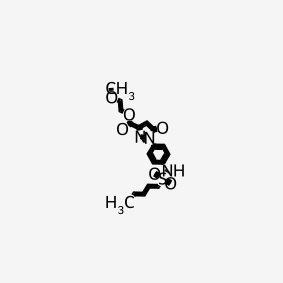 CCCCCS(=O)(=O)Nc1ccc(N2N=C(C(=O)OCCOC)CC2=O)cc1